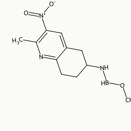 COBNC1CCc2nc(C)c([N+](=O)[O-])cc2C1